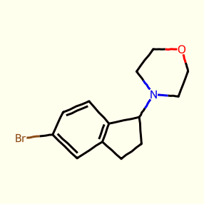 Brc1ccc2c(c1)CCC2N1CCOCC1